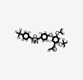 CC(C)Oc1cc(OC(C)(C)C)c(C2OC2C)cc1Oc1ccc(-c2nnc(-c3ccc(C(C)(C)C)cc3)o2)cc1